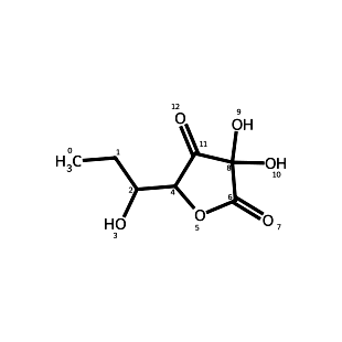 CCC(O)C1OC(=O)C(O)(O)C1=O